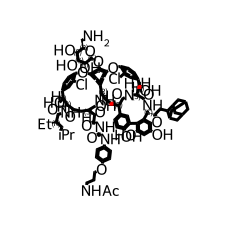 CC[C@H](CC(C)C)C(=O)N[C@H]1C(=O)C[C@@H](CC(=O)NC(=O)Nc2ccc(OCCCNC(C)=O)cc2)C(=O)N[C@H]2C(=O)C[C@H]3C(=O)N[C@H](C(=O)N[C@H](C(=O)CC4C5CC6CC(C5)CC4C6)c4cc(O)cc(O)c4-c4cc3ccc4O)[C@H](O)c3ccc(c(Cl)c3)Oc3cc2cc(c3O[C@@H]2O[C@H](CN)[C@@H](O)[C@H](O)[C@H]2O)Oc2ccc(cc2Cl)[C@H]1O